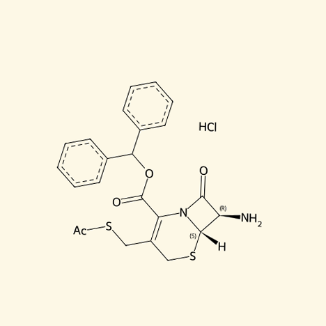 CC(=O)SCC1=C(C(=O)OC(c2ccccc2)c2ccccc2)N2C(=O)[C@@H](N)[C@@H]2SC1.Cl